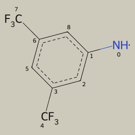 [NH]c1cc(C(F)(F)F)cc(C(F)(F)F)c1